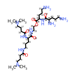 CN(C)CCCC(=O)NCCCC(NC(=O)CCCN(C)C)C(=O)NCCOC(=O)C(CCCN)NC(=O)C(N)CCCN